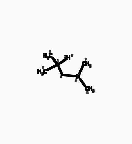 [2H]C(C)(C)CN(C)C